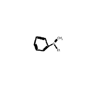 C=S(CC)c1ccccc1